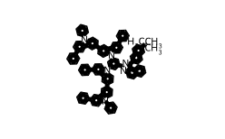 CC(C)(C)c1ccc2cc(-c3nc(-c4cc(-n5c6ccc(-c7ccccc7)cc6c6cc(-c7ccc8c(c7)c7cc(-c9ccccc9)ccc7n8-c7ccccc7)ccc65)cc(-n5c6ccc(-c7ccccc7)cc6c6cc(-c7ccc8c(c7)c7cc(-c9ccccc9)ccc7n8-c7ccccc7)ccc65)c4)nc4ccc5ccccc5c34)ccc2c1